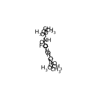 CC(C)(C)OC(=O)CCNC(=O)c1ccc(N2CCN(C3CCN(C(=O)OC(C)(C)C)CC3)CC2)cc1F